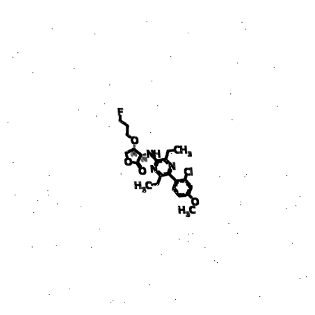 CCc1nc(-c2ccc(OC)cc2Cl)c(CC)nc1N[C@@H]1C(=O)OC[C@@H]1OCCCF